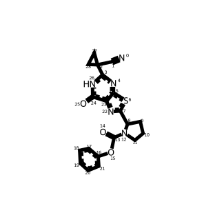 N#CC1(c2nc3sc(C4CCCN4C(=O)Oc4ccccc4)nc3c(=O)[nH]2)CC1